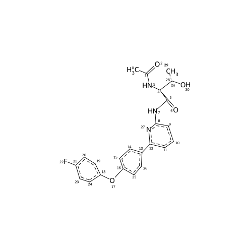 CC(=O)NC(C(=O)Nc1cccc(-c2ccc(Oc3ccc(F)cc3)cc2)n1)[C@H](C)O